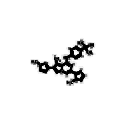 Cc1c(-c2ccn(C)n2)cn2nc(-c3nccn3C)nc(Nc3ccc(C(C)(C)O)cn3)c12